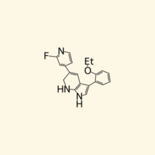 CCOc1ccccc1-c1c[nH]c2c1C=C(c1ccnc(F)c1)CN2